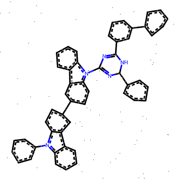 c1ccc(-c2cccc(C3=NC(n4c5ccccc5c5cc(-c6ccc7c(c6)c6ccccc6n7-c6ccccc6)ccc54)=NC(c4ccccc4)N3)c2)cc1